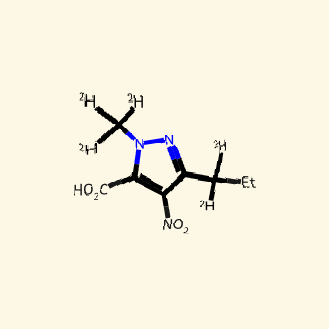 [2H]C([2H])(CC)c1nn(C([2H])([2H])[2H])c(C(=O)O)c1[N+](=O)[O-]